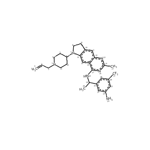 C=CCN1CCC(N2CCc3cc4nc(C)nc(NC(C)c5cc(N)cc(C(F)(F)F)c5)c4cc32)CC1